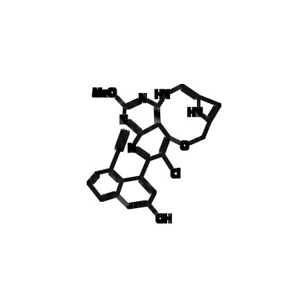 C#Cc1cccc2cc(O)cc(-c3nc4nc(OC)nc5c4c(c3Cl)OCC3=C/C(=C\N5)N3)c12